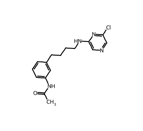 CC(=O)Nc1cccc(CCCCNc2cncc(Cl)n2)c1